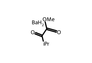 COC(=O)C(=O)C(C)C.[BaH2]